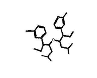 CCC(c1cccc(C)c1)C(CC(C)C)OC(CC(C)C)C(CC)c1cccc(C)c1